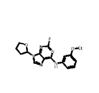 CCOc1cccc(Nc2nc(F)nc3c2ncn3C2CCCO2)c1